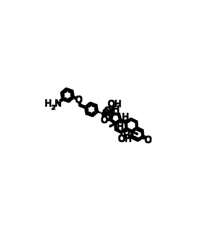 C[C@]12C=CC(=O)C=C1CC[C@@H]1[C@@H]2[C@@H](O)C[C@@]2(C)[C@H]1C[C@H]1O[C@@H](c3ccc(COc4cccc(N)c4)cc3)O[C@]12C(=O)CO